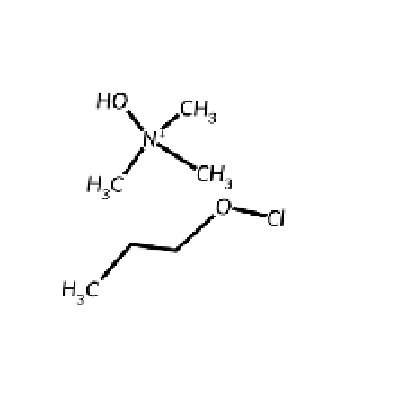 CCCOCl.C[N+](C)(C)O